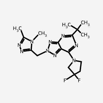 Cc1nnc(Cn2nc3nc(C(C)(C)C)nc(N4CCC(F)(F)C4)c3n2)n1C